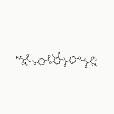 C=C(C)C(=O)CCOc1ccc(C(=O)Oc2ccc(OC(=O)c3ccc(OCOC(=O)C(=C)C)cc3)c(F)c2F)cc1